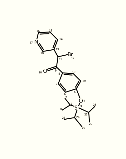 CC(C)[Si](Oc1ccc(C(=O)C(Br)c2cccnc2)cc1)(C(C)C)C(C)C